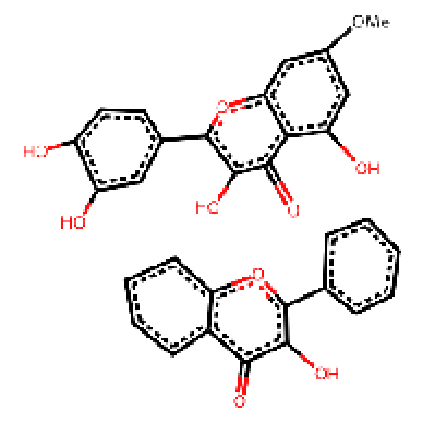 COc1cc(O)c2c(=O)c(O)c(-c3ccc(O)c(O)c3)oc2c1.O=c1c(O)c(-c2ccccc2)oc2ccccc12